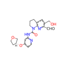 O=Cc1nc2c(cc1CO)CCCN2C(=O)Nc1cc(O[C@@H]2CCOC2)ccn1